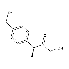 CC(C)Cc1ccc([C@H](C)C(=O)NO)cc1